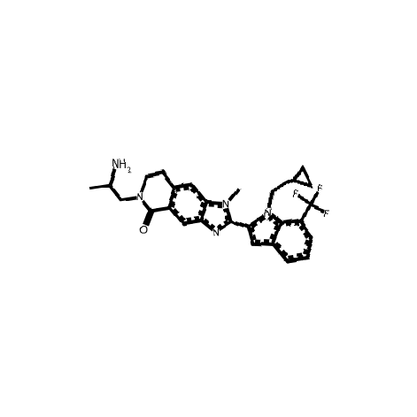 CC(N)CN1CCc2cc3c(cc2C1=O)nc(-c1cc2cccc(C(F)(F)F)c2n1CC1CC1)n3C